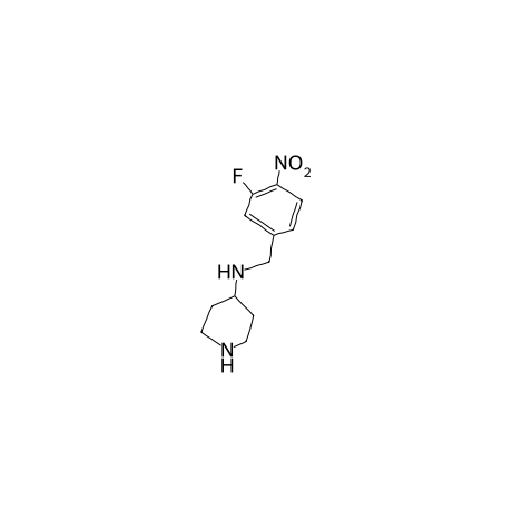 O=[N+]([O-])c1ccc(CNC2CCNCC2)cc1F